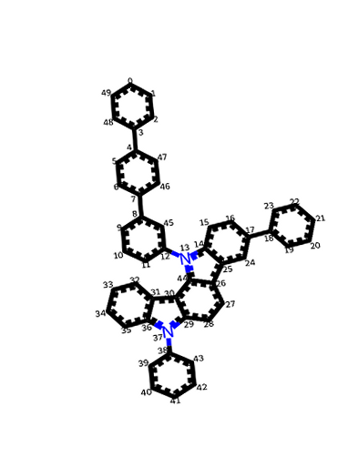 c1ccc(-c2ccc(-c3cccc(-n4c5ccc(-c6ccccc6)cc5c5ccc6c(c7ccccc7n6-c6ccccc6)c54)c3)cc2)cc1